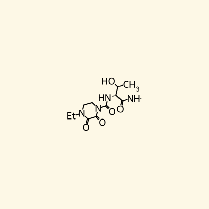 CCN1CCN(C(=O)N[C@@H](C([NH])=O)[C@H](C)O)C(=O)C1=O